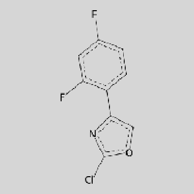 Fc1ccc(-c2coc(Cl)n2)c(F)c1